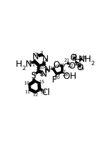 Nc1ncnc2c1c(Sc1cccc(Cl)c1)nn2[C@@H]1O[C@H](COS(N)(=O)=O)[C@@H](O)[C@@H]1F